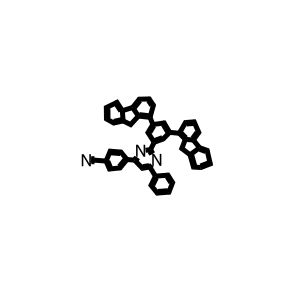 N#Cc1ccc(-c2cc(-c3ccccc3)nc(-c3cc(-c4cccc5c4Cc4ccccc4-5)cc(-c4cccc5c4Cc4ccccc4-5)c3)n2)cc1